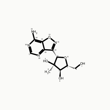 C[C@@]1(O)[C@H](O)[C@@H](CO)O[C@H]1c1noc2c(N)ncnc12